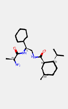 CC(C)[C@@H]1CC[C@@H](C)C[C@H]1C(=O)NC[C@@H](NC(=O)[C@H](C)N)C1CCCCC1